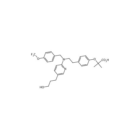 CC(C)(Oc1ccc(CCN(Cc2ccc(OC(F)(F)F)cc2)c2ccc(CCCO)cn2)cc1)C(=O)O